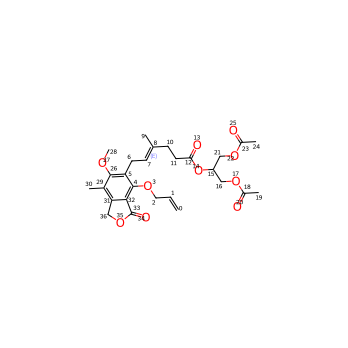 C=CCOc1c(C/C=C(\C)CCC(=O)OC(COC(C)=O)COC(C)=O)c(OC)c(C)c2c1C(=O)OC2